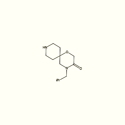 CC(C)CN1CC2(CCNCC2)OCC1=O